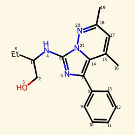 CCC(CO)Nc1nc(-c2ccccc2)c2c(C)cc(C)nn12